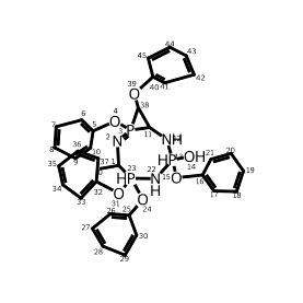 CC1N=P2(Oc3ccccc3)C(N[PH](O)(Oc3ccccc3)N[PH]1(Oc1ccccc1)Oc1ccccc1)C2Oc1ccccc1